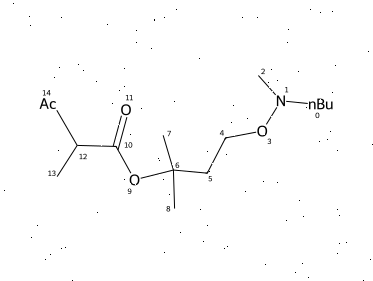 CCCCN(C)OCCC(C)(C)OC(=O)C(C)C(C)=O